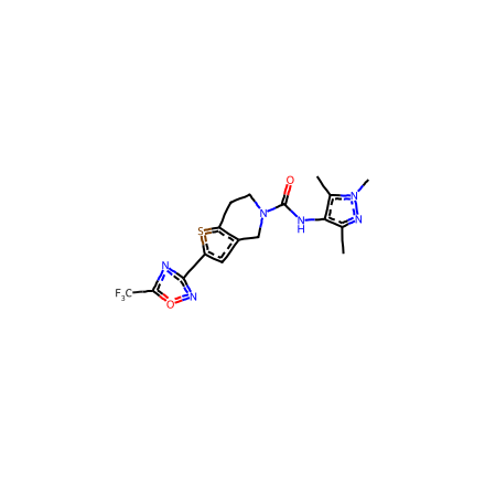 Cc1nn(C)c(C)c1NC(=O)N1CCc2sc(-c3noc(C(F)(F)F)n3)cc2C1